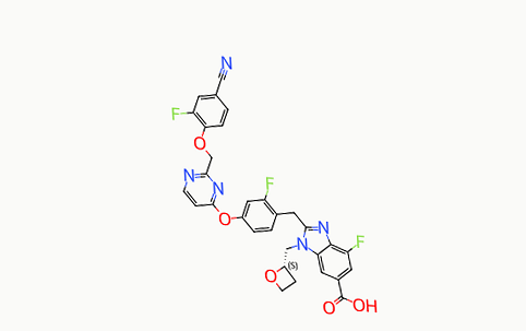 N#Cc1ccc(OCc2nccc(Oc3ccc(Cc4nc5c(F)cc(C(=O)O)cc5n4C[C@@H]4CCO4)c(F)c3)n2)c(F)c1